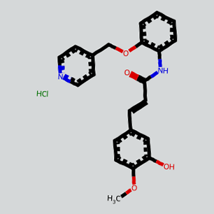 COc1ccc(C=CC(=O)Nc2ccccc2OCc2ccncc2)cc1O.Cl